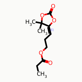 CCC(=O)OCC/C=C1/OC(=O)OC1(C)C